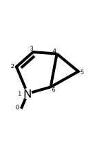 CN1C=CC2CC21